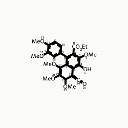 CCOC(=O)c1c(OC)c(O)c2c(c1-c1ccc(OC)c(OC)c1)C(OC)=C(OC)C(OC)C2=C=O